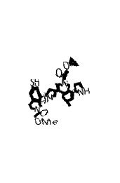 COCC(=O)N1CCc2cc(S)cc([C@@H]3CC(C4CN(C(=O)COC5CC5)Cc5c4cc(C)cc5[C@@H]4CCCN4)CN3)c2C1